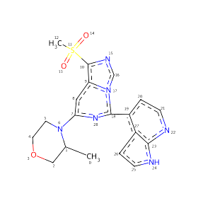 CC1COCCN1c1cc2c(S(C)(=O)=O)ncn2c(-c2ccnc3[nH]ccc23)n1